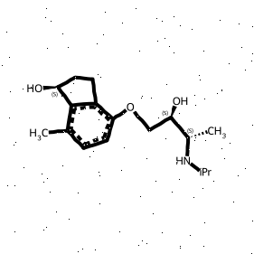 Cc1ccc(OC[C@@H](O)[C@H](C)NC(C)C)c2c1[C@@H](O)CC2